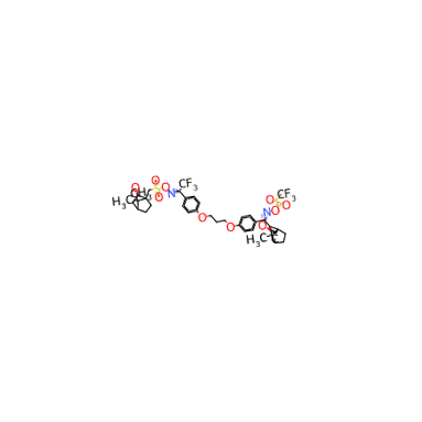 CC1(C)C2CCC1(CS(=O)(=O)O/N=C(/c1ccc(OCCCOc3ccc(/C(=N/OS(=O)(=O)C(F)(F)F)C4C56CCC(CC5=O)C46C)cc3)cc1)C(F)(F)F)C(=O)C2